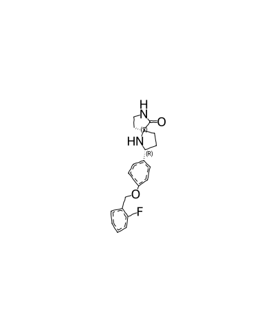 O=C1NCC[C@@]12CC[C@H](c1ccc(OCc3ccccc3F)cc1)N2